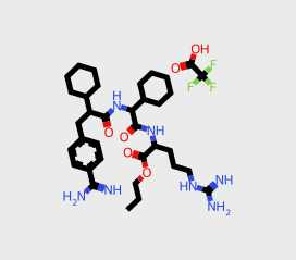 CCCOC(=O)C(CCCNC(=N)N)NC(=O)C(NC(=O)C(Cc1ccc(C(=N)N)cc1)C1CCCCC1)C1CCCCC1.O=C(O)C(F)(F)F